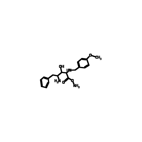 COc1ccc(CNC(C(=O)ON)C(O)C(N)Cc2ccccc2)cc1